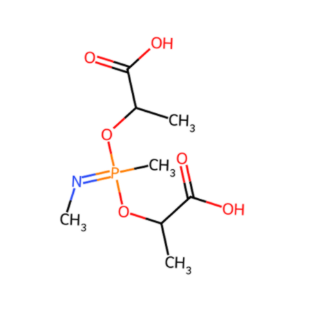 CN=P(C)(OC(C)C(=O)O)OC(C)C(=O)O